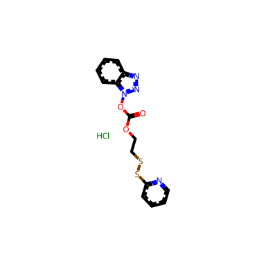 Cl.O=C(OCCSSc1ccccn1)On1nnc2ccccc21